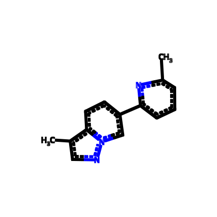 Cc1cccc(-c2ccc3c(C)cnn3c2)n1